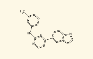 FC(F)(F)c1cccc(Nc2nccc(-c3ccc4nccn4c3)n2)c1